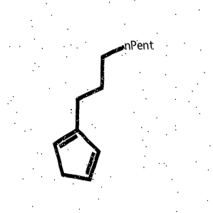 CCCCCCCCC1=CC[C]=C1